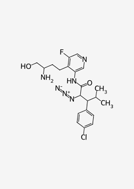 CC(C)C(c1ccc(Cl)cc1)C(N=[N+]=[N-])C(=O)Nc1cncc(F)c1CCC(N)CO